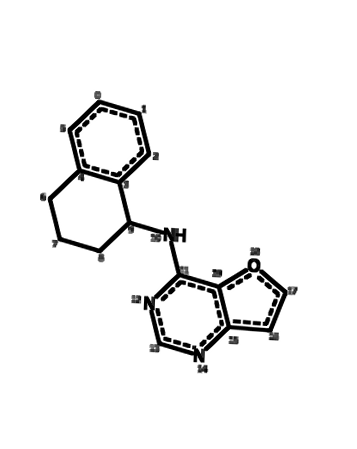 c1ccc2c(c1)CCCC2Nc1ncnc2ccoc12